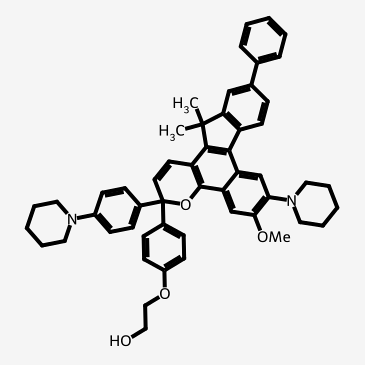 COc1cc2c3c(c4c(c2cc1N1CCCCC1)-c1ccc(-c2ccccc2)cc1C4(C)C)C=CC(c1ccc(OCCO)cc1)(c1ccc(N2CCCCC2)cc1)O3